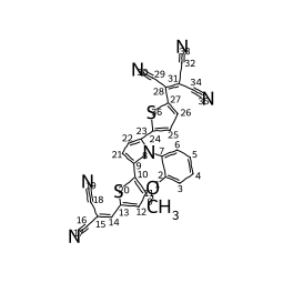 COc1ccccc1-n1c(-c2ccc(C=C(C#N)C#N)s2)ccc1-c1ccc(C(C#N)=C(C#N)C#N)s1